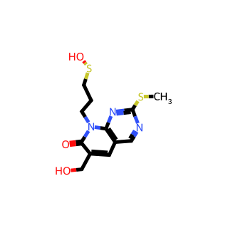 CSc1ncc2cc(CO)c(=O)n(CCCSO)c2n1